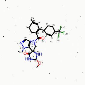 COC1NC(=O)C(CNC(=O)C2=C(C3C=CC(C(F)(F)F)CC3)C=C(C)CC2)(c2ccnn2C)N1